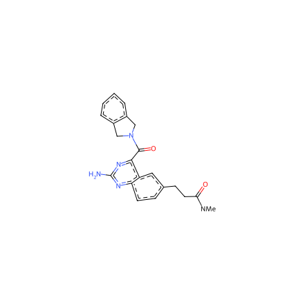 CNC(=O)CCc1ccc2nc(N)nc(C(=O)N3Cc4ccccc4C3)c2c1